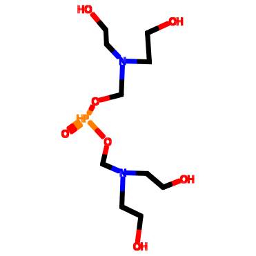 O=[PH](OCN(CCO)CCO)OCN(CCO)CCO